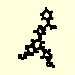 CCC(c1ccccc1)n1cc(-c2cc(-c3cnn(C)c3)c3nc(N)nn3c2)cn1